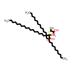 CCCCCCCCCCCCCCCCCC(CCCCCCCCCCCC)(CCCCCCCCCCCC)C(C)(SC(C)C(=O)O)C(=O)O